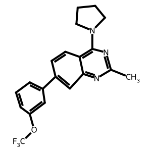 Cc1nc(N2CCCC2)c2ccc(-c3cccc(OC(F)(F)F)c3)cc2n1